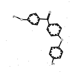 CC(C)Oc1ccc(C(=O)c2ccc(Oc3ccc(C(C)C)cc3)cc2)cc1